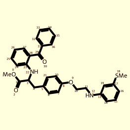 COC(=O)C(Cc1ccc(OCCNc2cccc(SC)c2)cc1)Nc1ccccc1C(=O)c1ccccc1